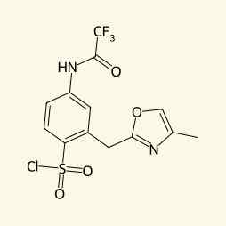 Cc1coc(Cc2cc(NC(=O)C(F)(F)F)ccc2S(=O)(=O)Cl)n1